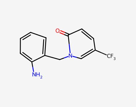 Nc1ccccc1Cn1cc(C(F)(F)F)ccc1=O